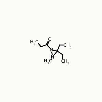 CCC(=O)N1N(C)C1(CC)CC